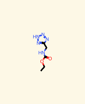 CCOC(=O)NCc1nn[nH]n1